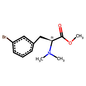 COC(=O)[C@H](Cc1cccc(Br)c1)N(C)C